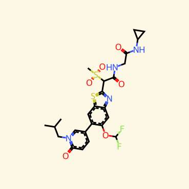 CC(C)Cn1cc(-c2cc3sc(C(C(=O)NCC(=O)NC4CC4)S(C)(=O)=O)nc3cc2OC(F)F)ccc1=O